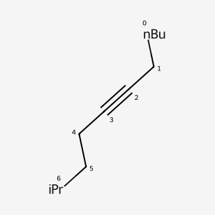 CCCCCC#CCCC(C)C